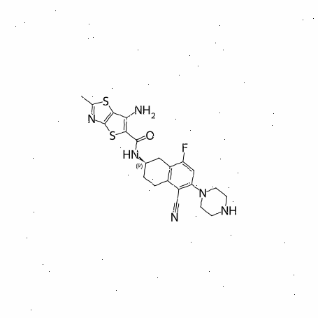 Cc1nc2sc(C(=O)N[C@@H]3CCc4c(C#N)c(N5CCNCC5)cc(F)c4C3)c(N)c2s1